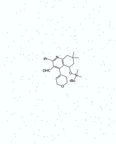 CC(C)c1nc2c(c(C3=CCOCC3)c1C=O)C(O[Si](C)(C)C(C)(C)C)CC(C)(C)C2